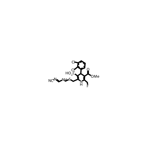 COC(=O)C1=C(CF)NC(CSCNC=NC#N)=C(C(=O)O)C1c1cccc(Cl)c1Cl